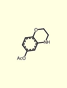 CC(=O)Oc1ccc2c(c1)NCCO2